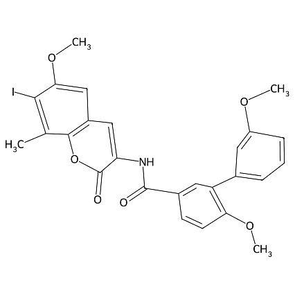 COc1cccc(-c2cc(C(=O)Nc3cc4cc(OC)c(I)c(C)c4oc3=O)ccc2OC)c1